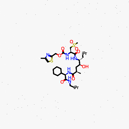 Cc1csc(COC(=O)N[C@@H](CS(C)(=O)=O)C(=O)N[C@H](CC(C)C)[C@@H](O)C[C@@H](C)C(=O)N[C@@H](C(=O)NCC(C)C)C2CCCCC2)n1